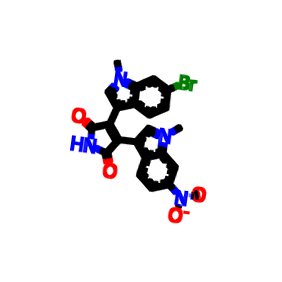 Cn1cc(C2=C(c3cn(C)c4cc([N+](=O)[O-])ccc34)C(=O)NC2=O)c2ccc(Br)cc21